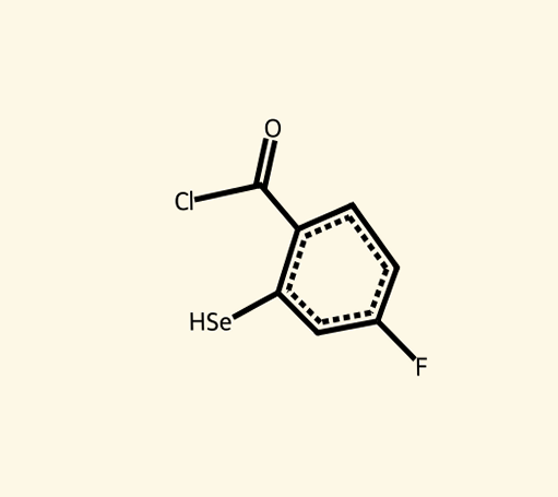 O=C(Cl)c1ccc(F)cc1[SeH]